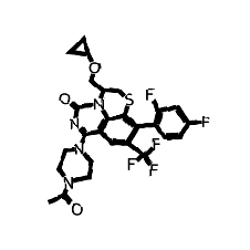 CC(=O)N1CCN(c2nc(=O)n3c4c(c(-c5ccc(F)cc5F)c(C(F)(F)F)cc24)SCC3COC2CC2)CC1